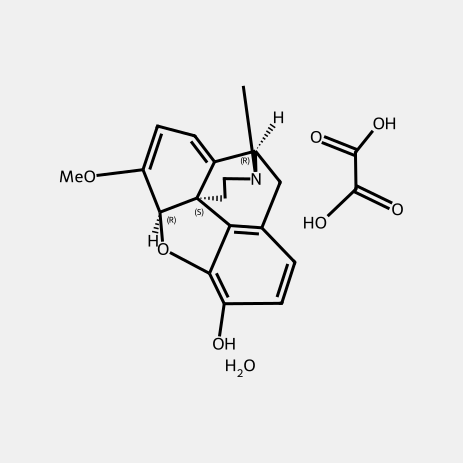 COC1=CC=C2[C@H]3Cc4ccc(O)c5c4[C@@]2(CCN3C)[C@H]1O5.O.O=C(O)C(=O)O